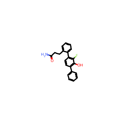 NC(=O)CCc1ccccc1-c1ccc(-c2ccccc2)c(O)c1F